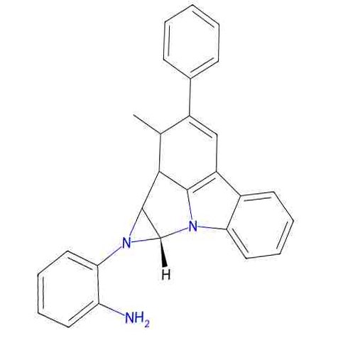 CC1C(c2ccccc2)=Cc2c3n(c4ccccc24)[C@H]2C(C31)N2c1ccccc1N